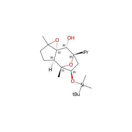 CC(C)[C@@]12C[C@@H](O[Si](C)(C)C(C)(C)C)[C@@](C)(O1)[C@H]1CCC3(C)O[C@]13[C@@H]2O